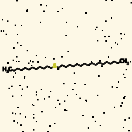 CCCCCCCCCCCCCCCCC[CH]SCCCCCCCCCCCC